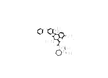 Cc1cc(Oc2ccccc2)ccc1C1(N)C(=O)C(N)c2c(C(=O)N[C@@H]3CCCC[C@H]3N(C)C)sc3c(N)ccc1c23